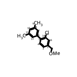 COCc1c[c]c(-c2cc(C)cc(C)c2)c(Cl)c1